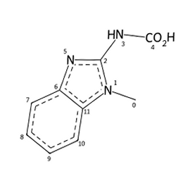 Cn1c(NC(=O)O)nc2ccccc21